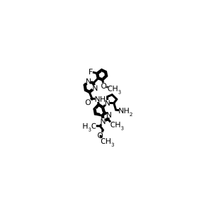 COCC(C)n1c(C)nc2c(N3CCCC3CN)c(NC(=O)c3ccnc(-c4c(F)cccc4OC)n3)ccc21